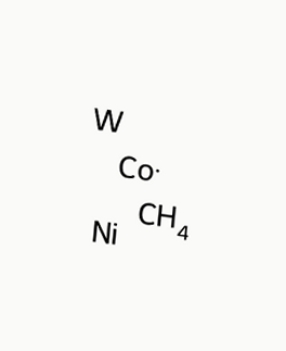 C.[Co].[Ni].[W]